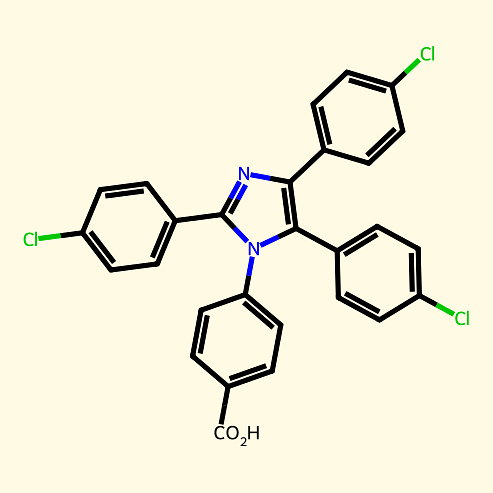 O=C(O)c1ccc(-n2c(-c3ccc(Cl)cc3)nc(-c3ccc(Cl)cc3)c2-c2ccc(Cl)cc2)cc1